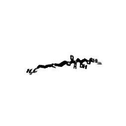 CCCCCCCCOC(=O)NCC(O)COC